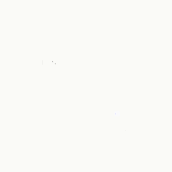 CCC(CN)CC/C=C(\C)F